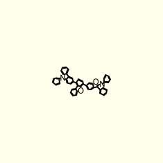 c1ccc(-n2c3ccccc3c3cc(-c4ccc(-c5ccc6c(c5)oc5c6c6ccccc6n5-c5ccccc5)c5oc6ccccc6c45)ccc32)cc1